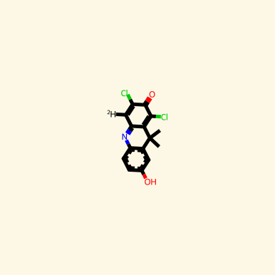 [2H]C1=C(Cl)C(=O)C(Cl)=C2C1=Nc1ccc(O)cc1C2(C)C